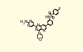 Nc1ncc(-c2nc(N3CCOCC3)c3ncc(-c4cccc(NS(=O)(=O)c5ccc(F)cc5)c4)cc3n2)cn1